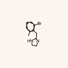 Cc1cccc(Br)c1CC1=NCCN1